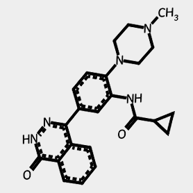 CN1CCN(c2ccc(-c3n[nH]c(=O)c4ccccc34)cc2NC(=O)C2CC2)CC1